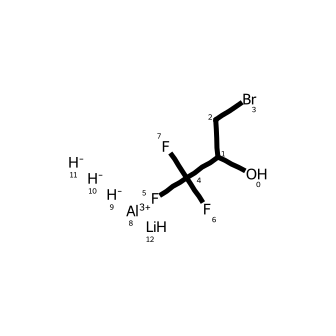 OC(CBr)C(F)(F)F.[Al+3].[H-].[H-].[H-].[LiH]